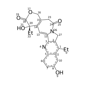 CCc1c2c(nc3ccc(O)cc13)C1=CC3=C(COC(=O)[C@]3(O)CC)CC(=O)N1C2